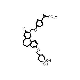 O=C(O)C1CC1c1ccc(OCc2cc3c(cc2F)CCCc2cc(OCC4CCS(O)(O)CC4)ccc2-3)cc1